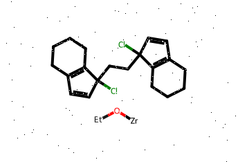 CC[O][Zr].ClC1(CCC2(Cl)C=CC3=C2CCCC3)C=CC2=C1CCCC2